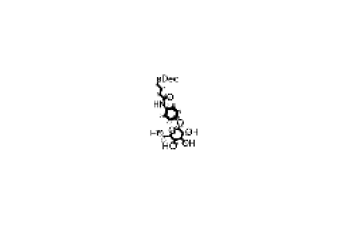 CCCCCCCCCCCCCC(=O)Nc1ccc(O[C@H]2O[C@H](CO)[C@@H](O)[C@H](O)[C@H]2O)cc1